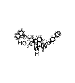 Cn1nc(COc2ccc(C3CCOCC3)cc2)c(-c2cccc3c(CCCOc4cccc5ccccc45)c(C(=O)O)[nH]c23)c1CO